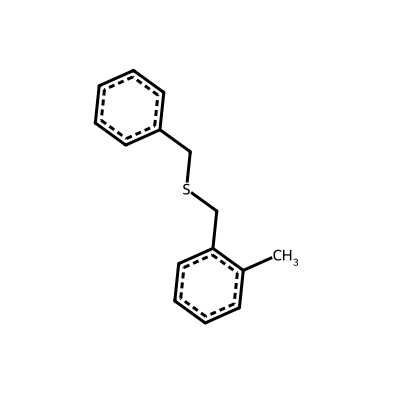 Cc1ccccc1CSCc1ccccc1